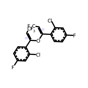 Fc1ccc(/C(=C/C(F)(F)F)O/C(=C\C(F)(F)F)c2ccc(F)cc2Cl)c(Cl)c1